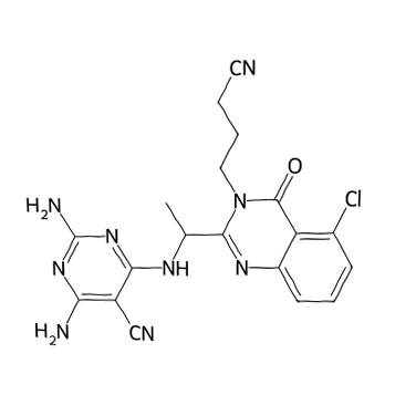 CC(Nc1nc(N)nc(N)c1C#N)c1nc2cccc(Cl)c2c(=O)n1CCCC#N